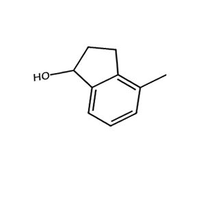 Cc1cccc2c1CCC2O